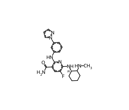 CNC1CCCC[C@H]1Nc1nc(Nc2cccc(-n3cccn3)c2)c(C(N)=O)cc1F